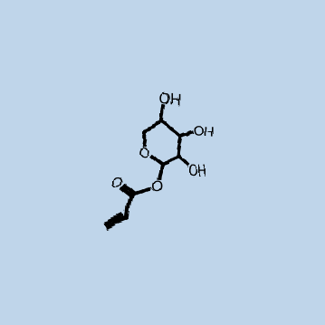 C=CC(=O)OC1OCC(O)C(O)C1O